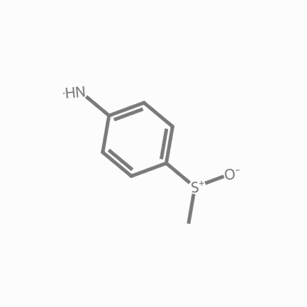 C[S+]([O-])c1ccc([NH])cc1